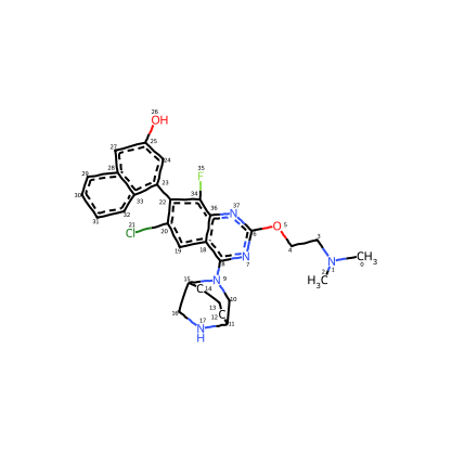 CN(C)CCOc1nc(N2CC3CCCC2CN3)c2cc(Cl)c(-c3cc(O)cc4ccccc34)c(F)c2n1